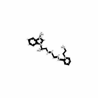 OCCn1ccccc1=NN=CN=NCC(O)[n+]1cn(O)c2ccccc21